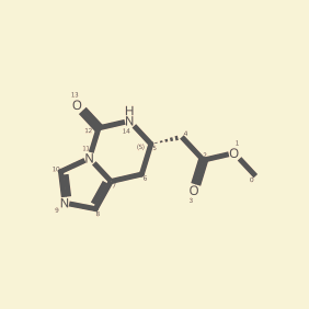 COC(=O)C[C@@H]1Cc2cncn2C(=O)N1